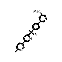 COc1cncc(-c2ccc(C(C)(c3ccc(-c4ccc(C)nn4)cn3)C(C)C)cc2)c1